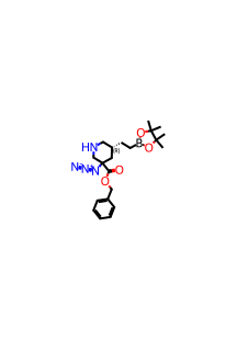 CC1(C)OB(CC[C@H]2CNCC(N=[N+]=[N-])(C(=O)OCc3ccccc3)C2)OC1(C)C